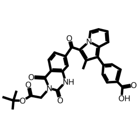 Cc1c(-c2ccc(C(=O)O)cc2)c2ccccn2c1C(=O)c1ccc2c(=O)n(CC(=O)OC(C)(C)C)c(=O)[nH]c2c1